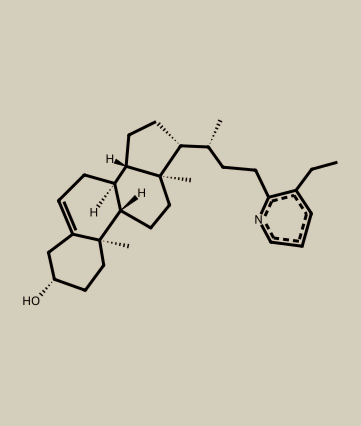 CCc1cccnc1CC[C@@H](C)[C@H]1CC[C@H]2[C@@H]3CC=C4C[C@@H](O)CC[C@]4(C)[C@H]3CC[C@]12C